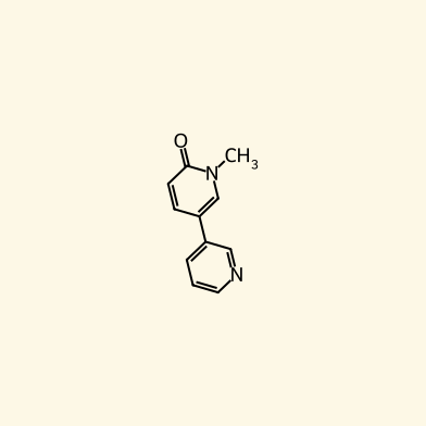 Cn1cc(-c2cccnc2)ccc1=O